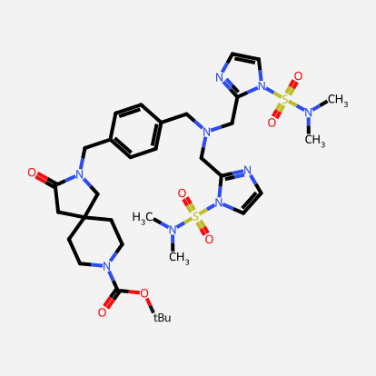 CN(C)S(=O)(=O)n1ccnc1CN(Cc1ccc(CN2CC3(CCN(C(=O)OC(C)(C)C)CC3)CC2=O)cc1)Cc1nccn1S(=O)(=O)N(C)C